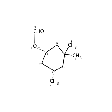 C[C@@H]1C[C@H](OC=O)CC(C)(C)C1